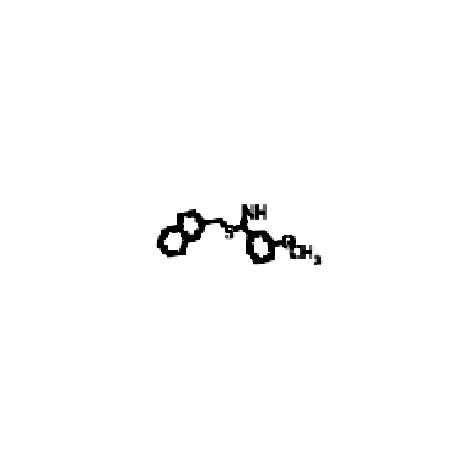 COc1cccc(C(=N)SCc2ccc3ccccc3c2)c1